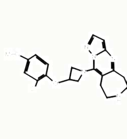 COc1ccc(OC2CN(c3c4c(nc5ccnn35)CCNCC4)C2)c(Cl)c1